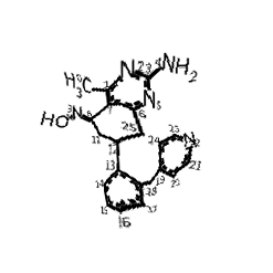 Cc1nc(N)nc2c1C(=NO)CC(c1ccccc1-c1ccncc1)C2